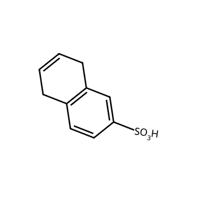 O=S(=O)(O)c1ccc2c(c1)CC=CC2